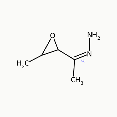 C/C(=N/N)C1OC1C